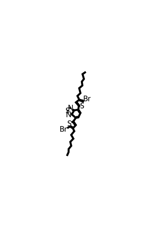 CCCCCCCCc1cc(-c2ccc(-c3cc(CCCCCCCC)c(Br)s3)c3nsnc23)sc1Br